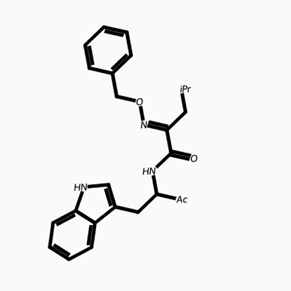 CC(=O)C(Cc1c[nH]c2ccccc12)NC(=O)C(CC(C)C)=NOCc1ccccc1